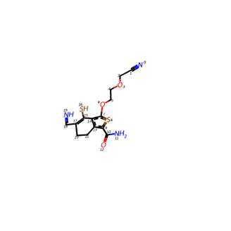 N#CCOCCOc1sc(C(N)=O)c2c1C(S)=C(C=N)CC2